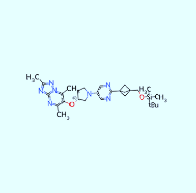 Cc1nc2nc(C)c(O[C@@H]3CCN(c4cnc(C56CC(CO[Si](C)(C)C(C)(C)C)(C5)C6)nc4)C3)c(C)n2n1